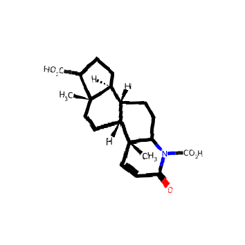 C[C@]12C=CC(=O)N(C(=O)O)C1CC[C@@H]1[C@H]2CC[C@]2(C)C(C(=O)O)CC[C@@H]12